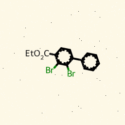 CCOC(=O)c1ccc(-c2ccccc2)c(Br)c1Br